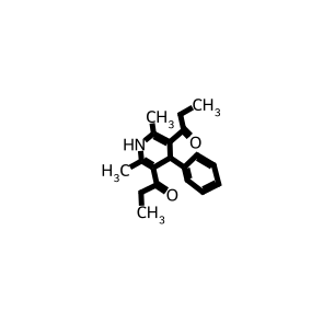 CCC(=O)C1=C(C)NC(C)=C(C(=O)CC)C1c1ccccc1